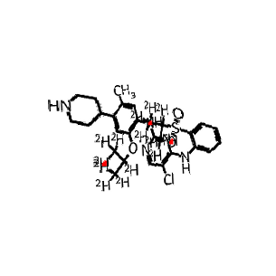 [2H]C([2H])([2H])C([2H])(Oc1cc(C2CCNCC2)c(C)cc1Nc1ncc(Cl)c(Nc2ccccc2S(=O)(=O)C([2H])(C([2H])([2H])[2H])C([2H])([2H])[2H])n1)C([2H])([2H])[2H]